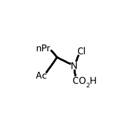 CCCC(C(C)=O)N(Cl)C(=O)O